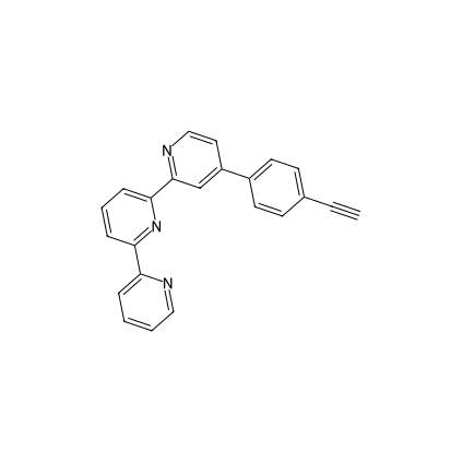 C#Cc1ccc(-c2ccnc(-c3cccc(-c4ccccn4)n3)c2)cc1